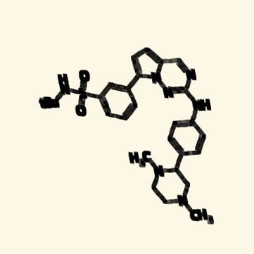 CN1CCN(C)C(c2ccc(Nc3ncc4ccc(-c5cccc(S(=O)(=O)NC(C)(C)C)c5)n4n3)cc2)C1